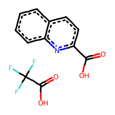 O=C(O)C(F)(F)F.O=C(O)c1ccc2ccccc2n1